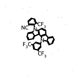 N#Cc1cccc(C(F)(F)F)c1-n1c2ccccc2c2c1ccc1c3ccccc3n(-c3cc(C(F)(F)F)cc(C(F)(F)F)c3)c12